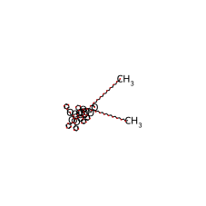 CCCCCCCCCCCCCCCCCC(=O)C[C@H](COP(=O)(OCc1ccccc1)O[C@@H]1CCCC[C@H]1OC1OC(COCc2ccccc2)C(OCc2ccccc2)C(OCc2ccccc2)C1OCc1ccccc1)C(=O)CCCCCCCCCCCCCCCCC